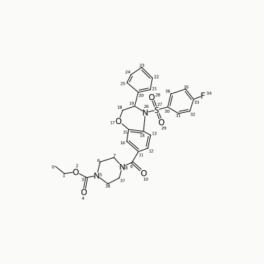 CCOC(=O)N1CCN(C(=O)c2ccc3c(c2)OCC(c2ccccc2)N3S(=O)(=O)c2ccc(F)cc2)CC1